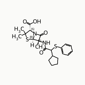 CC1(C)S[C@H]2N(C(=O)[C@]2(C)NC(=O)C(Sc2ccccc2)C2CCCC2)[C@H]1C(=O)O